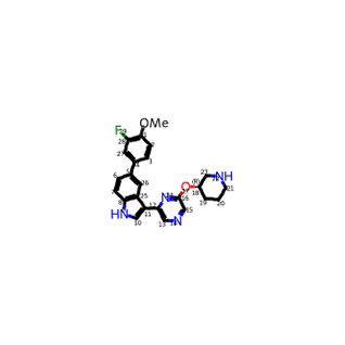 COc1ccc(-c2ccc3[nH]cc(-c4cncc(O[C@@H]5CCCNC5)n4)c3c2)cc1F